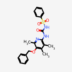 Cc1nc(NC(=O)NS(=O)(=O)c2ccccc2)c(C)c(C)c1OCc1ccccc1